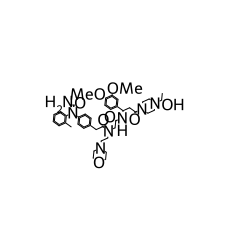 COc1ccc(C(CC(=O)N2CCN(C(C)O)CC2)NC(=O)CN(CCN2CCOCC2)C(=O)Cc2ccc(N(C(N)=O)c3ccccc3C)cc2)cc1OC